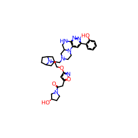 O=C(Cc1cc(OCCN2C3CCC2CC(CN2CCN4c5cc(-c6ccccc6O)nnc5NCC4C2)C3)no1)N1CC[C@@H](O)C1